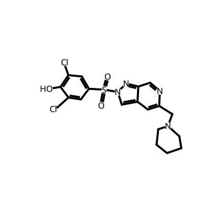 O=S(=O)(c1cc(Cl)c(O)c(Cl)c1)n1cc2cc(CN3CCCCC3)ncc2n1